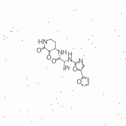 CC(C)C(Nc1ncc(-c2ccco2)o1)C(=O)NC1CCNC(=O)C1=O